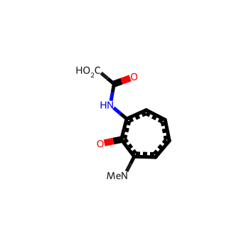 CNc1ccccc(NC(=O)C(=O)O)c1=O